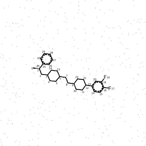 C[C@H](CC1CCC(CCC2CCC(c3ccc(F)c(F)c3)CC2)CC1)c1ccccc1